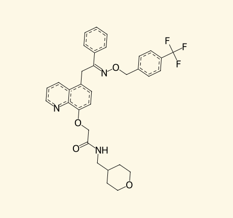 O=C(COc1ccc(CC(=NOCc2ccc(C(F)(F)F)cc2)c2ccccc2)c2cccnc12)NCC1CCOCC1